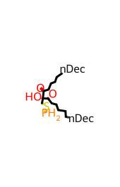 CCCCCCCCCCCCCCCC(=O)C(O)(CSP)C(=O)CCCCCCCCCCCCCCC